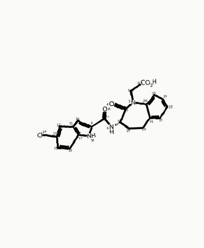 O=C(O)CN1C(=O)[C@@H](NC(=O)c2cc3cc(Cl)ccc3[nH]2)CCc2ccccc21